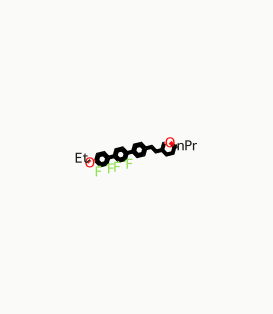 CCCC1CCC(CCc2ccc(-c3ccc(-c4ccc(OCC)c(F)c4F)c(F)c3F)cc2)CO1